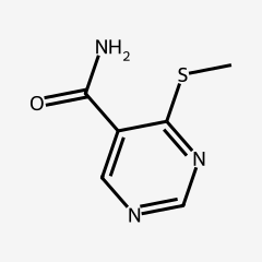 CSc1ncncc1C(N)=O